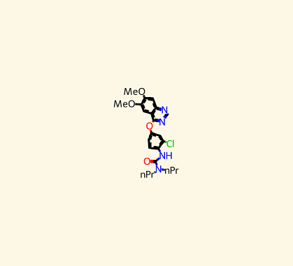 CCCN(CCC)C(=O)Nc1ccc(Oc2ncnc3cc(OC)c(OC)cc23)cc1Cl